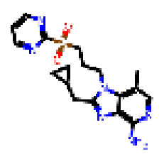 Cc1cnc(N)c2nc(CC3CC3)n(CCCS(=O)(=O)c3ncccn3)c12